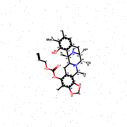 C=CCOC(=O)Oc1c(C)c2c(c3c1CC1[C@@H]4c5c(cc(C)c(OC)c5O)C[C@@H]([C@H](C#N)N1[C@H]3CC)N4C)OCO2